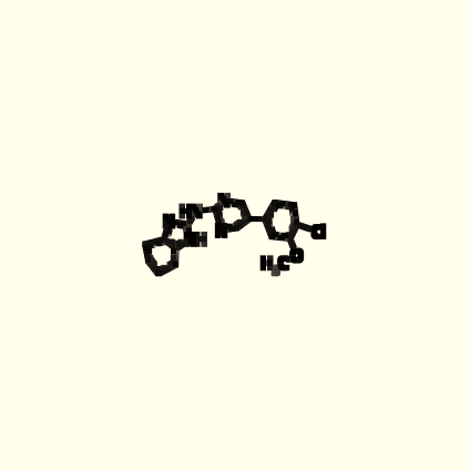 COc1cc(-c2cnc(Nc3nc4ccccc4[nH]3)nc2)ccc1Cl